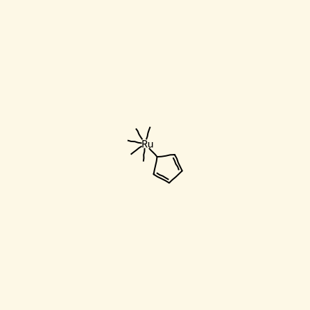 [CH3][Ru]([CH3])([CH3])([CH3])([CH3])[CH]1C=CC=C1